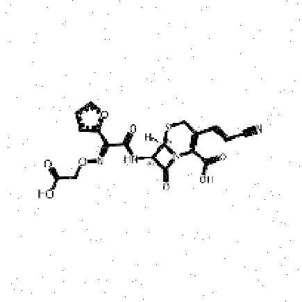 N#CC=CC1=C(C(=O)O)N2C(=O)[C@@H](NC(=O)C(=NOCC(=O)O)c3ccco3)[C@H]2SC1